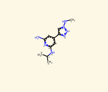 CNn1cc(-c2cc(N)nc(NC(C)C)c2)nn1